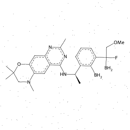 Bc1c([C@@H](C)Nc2nc(C)nc3cc4c(cc23)N(C)CC(C)(C)O4)cccc1C(B)(F)COC